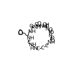 O=C1CNCC(CCc2ccccc2)NCCNCCNCCCCCCNC(=O)C(=O)NC(=O)C(=O)NC(=O)C(=O)NC(=O)C(=O)N1